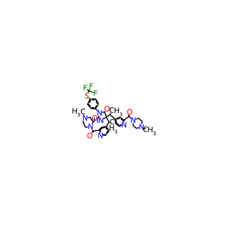 CC(c1ccnc(C(=O)N2CCN(C)CC2)c1)C1(C(C)c2ccnc(C(=O)N3CCN(C)CC3)c2)NC(=O)N(c2ccc(SC(F)(F)F)cc2)C1=O